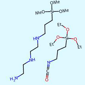 CCO[Si](CCCN=C=O)(OCC)OCC.CO[Si](CCCNCCNCCN)(OC)OC